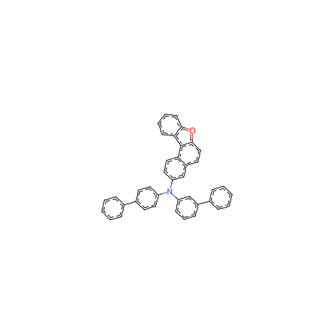 c1ccc(-c2ccc(N(c3cccc(-c4ccccc4)c3)c3ccc4c(ccc5oc6ccccc6c54)c3)cc2)cc1